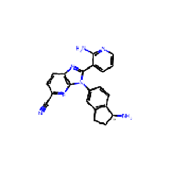 N#Cc1ccc2nc(-c3cccnc3N)n(-c3ccc4c(c3)CC[C@@H]4N)c2n1